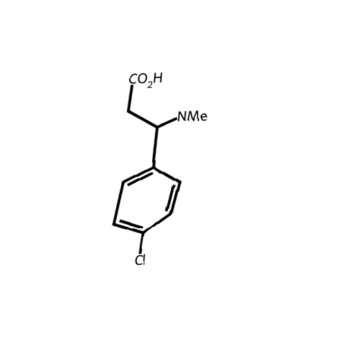 CNC(CC(=O)O)c1ccc(Cl)cc1